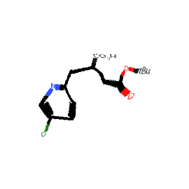 CC(C)(C)OC(=O)CC(Cc1ccc(Cl)cn1)C(=O)O